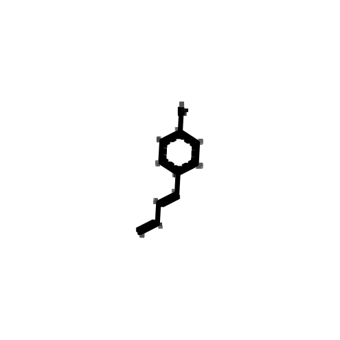 C=CC=Cc1ccc(Br)cc1